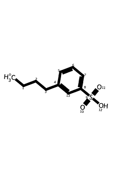 CCCCc1cccc(S(=O)(=O)O)c1